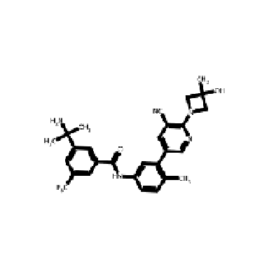 Cc1ccc(NC(=O)c2cc(C(C)(C)N)cc(C(F)(F)F)c2)cc1-c1cnc(N2CC(C)(O)C2)c(C#N)c1